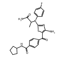 CC(C(N)=O)N(c1ccc(F)cc1)c1nc(N)c(C(=O)c2ccc(C(=O)NC3CCCC3)cc2)s1